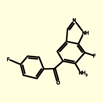 Nc1c(C(=O)c2ccc(F)cc2)cc2cn[nH]c2c1F